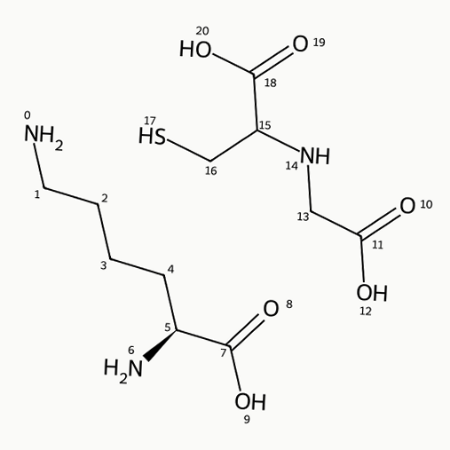 NCCCC[C@H](N)C(=O)O.O=C(O)CNC(CS)C(=O)O